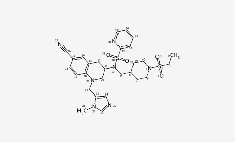 CCS(=O)(=O)N1CCC(CN(C2Cc3cc(C#N)ccc3N(Cc3cncn3C)C2)S(=O)(=O)c2ccccn2)CC1